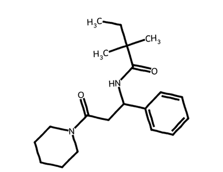 CCC(C)(C)C(=O)NC(CC(=O)N1CCCCC1)c1ccccc1